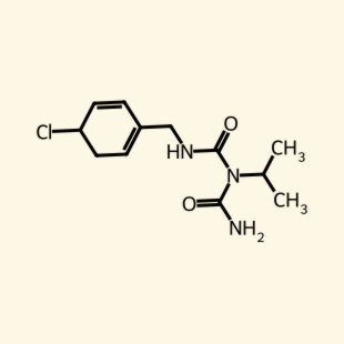 CC(C)N(C(N)=O)C(=O)NCC1=CCC(Cl)C=C1